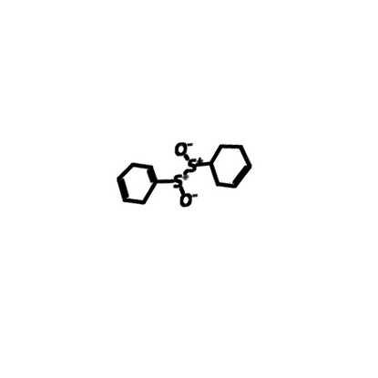 [O-][S+](C1=CCC=CC1)[S+]([O-])C1CC=CCC1